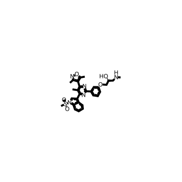 CNC[C@@H](O)COc1cccc(-c2nc(-c3c(C)noc3C)c(C)c(-c3cn(S(C)(=O)=O)c4ccccc34)n2)c1